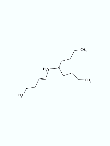 CCCC=C[SiH2]N(CCCC)CCCC